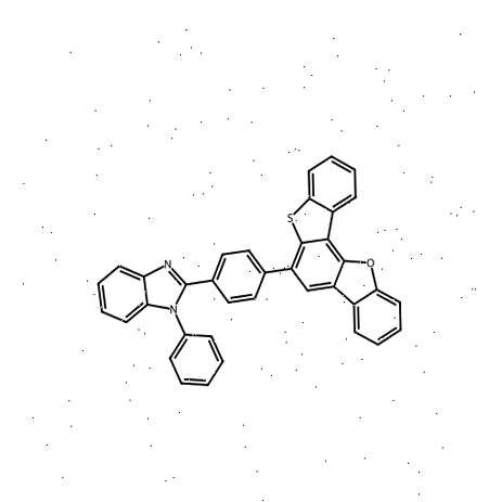 c1ccc(-n2c(-c3ccc(-c4cc5c6ccccc6oc5c5c4sc4ccccc45)cc3)nc3ccccc32)cc1